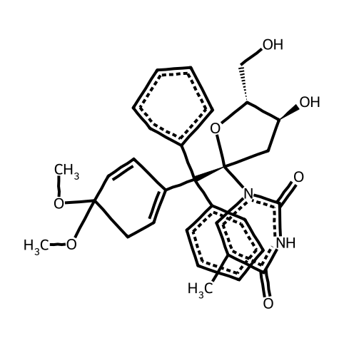 COC1(OC)C=CC(C(c2ccccc2)(c2ccccc2)[C@]2(n3cc(C)c(=O)[nH]c3=O)C[C@H](O)[C@@H](CO)O2)=CC1